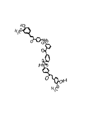 COc1cc(/C=C/C(=O)c2ccc(NS(=O)(=O)c3cccc(C(=O)c4cccc(S(=O)(=O)Nc5ccc(C(=O)/C=C/c6ccc(O)c(OC)c6)cc5)c4)c3)cc2)ccc1O